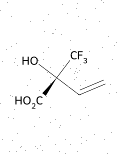 C=C[C@@](O)(C(=O)O)C(F)(F)F